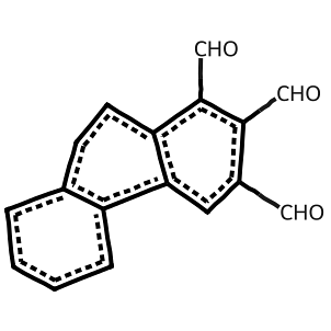 O=Cc1cc2c(ccc3ccccc32)c(C=O)c1C=O